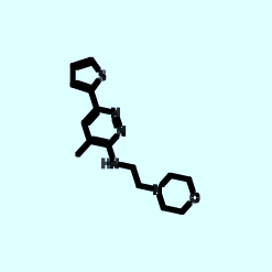 Cc1cc(-c2cccs2)nnc1NCCN1CCOCC1